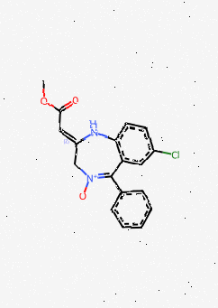 COC(=O)/C=C1/C[N+]([O-])=C(c2ccccc2)c2cc(Cl)ccc2N1